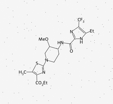 CCOC(=O)c1nc(N2CCC(NC(=O)c3nc(C(F)(F)F)c(CC)[nH]3)C(OC)C2)sc1C